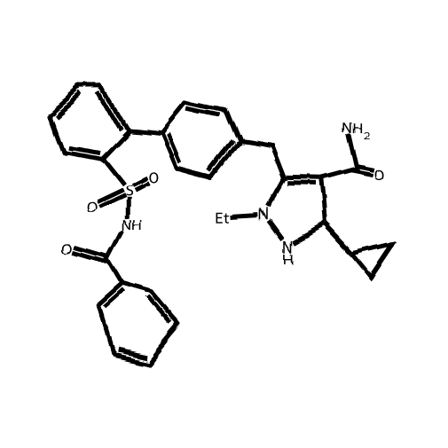 CCN1NC(C2CC2)C(C(N)=O)=C1Cc1ccc(-c2ccccc2S(=O)(=O)NC(=O)c2ccccc2)cc1